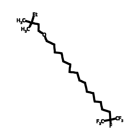 CCC(C)(C)CCOCCCCCCCCCCCCCCCCC(F)(C(F)(F)F)C(F)(F)F